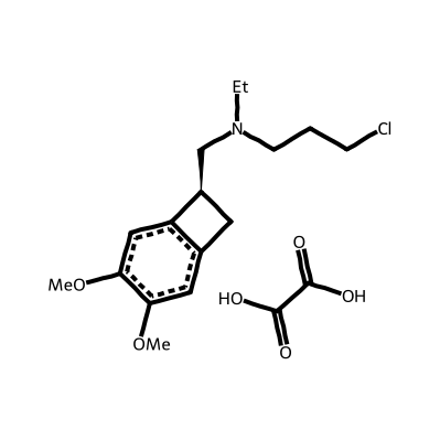 CCN(CCCCl)C[C@H]1Cc2cc(OC)c(OC)cc21.O=C(O)C(=O)O